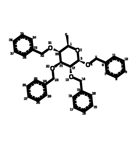 C[C@H]1O[C@H](OCc2ccccc2)[C@H](OCc2ccccc2)[C@@H](OCc2ccccc2)[C@@H]1OCc1ccccc1